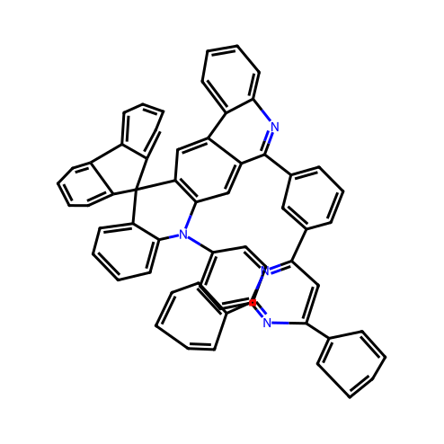 c1ccc(-c2cc(-c3cccc(-c4nc5ccccc5c5cc6c(cc45)N(c4ccccc4)c4ccccc4C64c5ccccc5-c5ccccc54)c3)nc(-c3ccccc3)n2)cc1